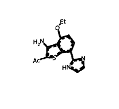 CCOc1ccc(-c2ncc[nH]2)c2sc(C(C)=O)c(N)c12